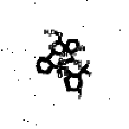 COC(=O)C1(NC(=O)c2ccccc2S(=O)(=O)Nc2ccc(F)cc2C(F)(F)F)CCN[C@@H]1C(=O)O